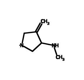 C=C1C[N]CC1NC